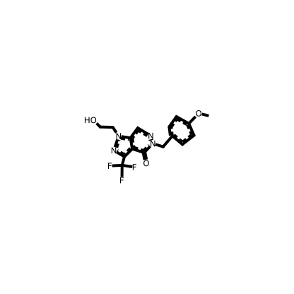 COc1ccc(Cn2ncc3c(c(C(F)(F)F)nn3CCO)c2=O)cc1